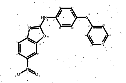 O=[N+]([O-])c1ccc2nc(Nc3ccc(Sc4ccncc4)cc3)oc2c1